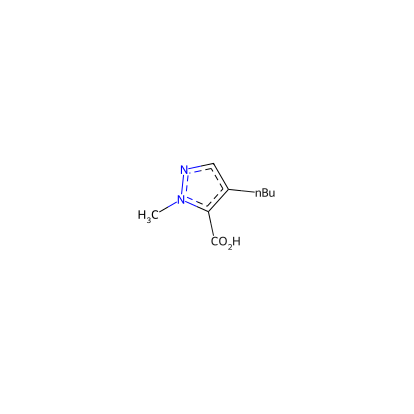 CCCCc1cnn(C)c1C(=O)O